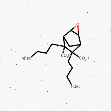 CCCCCCCCCCCCCC1(C(=O)O)C2CC(C3OC32)C1(CCCCCCCCCCCCC)C(=O)O